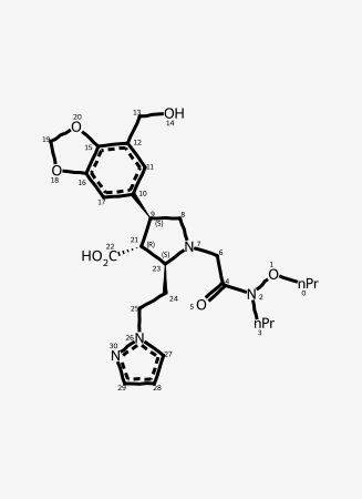 CCCON(CCC)C(=O)CN1C[C@H](c2cc(CO)c3c(c2)OCO3)[C@@H](C(=O)O)[C@@H]1CCn1cccn1